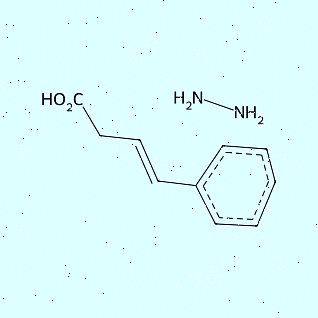 NN.O=C(O)CC=Cc1ccccc1